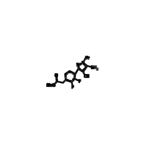 COC(=O)Cc1ccc(-c2nn(C(C)C)c(N)c2C#N)c(F)c1F